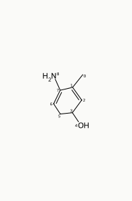 CC1=CC(O)CC=C1N